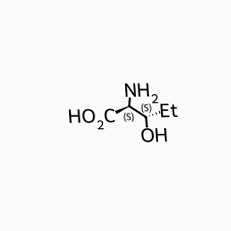 CC[C@H](O)[C@H](N)C(=O)O